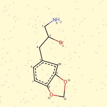 NCC(Br)Cc1ccc2c(c1)OCO2